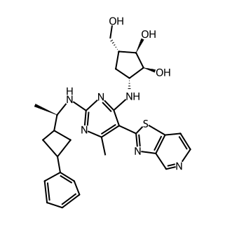 Cc1nc(N[C@H](C)C2CC(c3ccccc3)C2)nc(N[C@@H]2C[C@H](CO)[C@@H](O)[C@H]2O)c1-c1nc2cnccc2s1